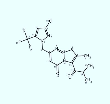 Cc1sc2nc(Cn3nc(Cl)cc3C(F)(F)F)cc(=O)n2c1C(=O)C(C)C